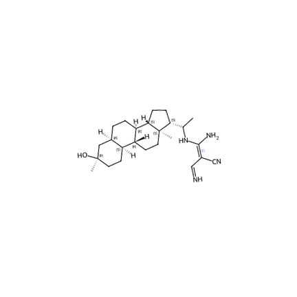 CC(N/C(N)=C(/C#N)C=N)[C@H]1CC[C@H]2[C@@H]3CC[C@@H]4C[C@](C)(O)CC[C@@H]4[C@H]3CC[C@]12C